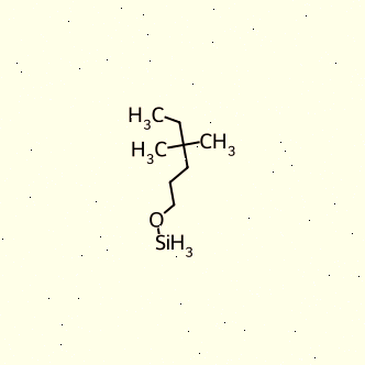 CCC(C)(C)CCCO[SiH3]